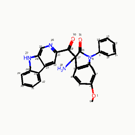 COc1ccc2c(c1)N(c1ccccc1)C(=O)C2(N)C(=O)c1cc2c(cn1)[nH]c1ccccc12